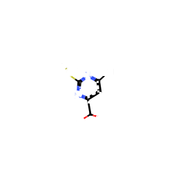 CSc1nc(C)cc(C(O)O)n1